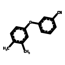 Cc1ccc(Oc2cccc(C#N)c2)cc1C